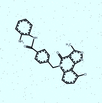 Cc1onc2c1c(=O)n(Cc1ccc(C(=O)Nc3ccccc3N)cc1)c1cccc(Cl)c21